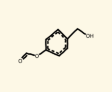 O=COc1ccc(CO)cc1